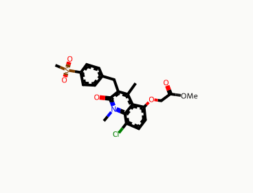 COC(=O)COc1ccc(Cl)c2c1c(C)c(Cc1ccc(S(C)(=O)=O)cc1)c(=O)n2C